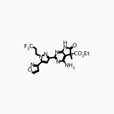 CCOC(=O)[C@]1(C)C(=O)Nc2nc(-c3cc(-c4ccon4)n(CCC(F)(F)F)n3)nc(N)c21